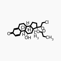 CCC(=O)O[C@@]1(C(=O)CCl)CC[C@H]2[C@@H]3CCC4=CC(=O)C=C[C@]4(C)[C@H]3[C@@H](O)C[C@@]21C